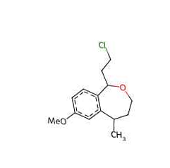 COc1ccc2c(c1)C(C)CCOC2CCCl